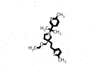 CCOC[C@@]1(CCc2ccc(C)s2)CCN(C(C)(C)c2ccc(C)nc2)C1